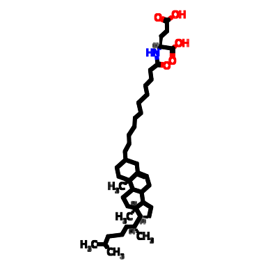 CC(C)CCC[C@@H](C)[C@H]1CCC2C3CC=C4CC(CCCCCCCCCCCC(=O)N[C@@H](CCC(=O)O)C(=O)O)CC[C@]4(C)C3CC[C@@]21C